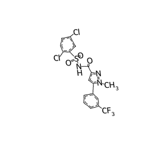 Cn1nc(C(=O)NS(=O)(=O)c2cc(Cl)ccc2Cl)cc1-c1cccc(C(F)(F)F)c1